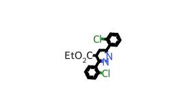 CCOC(=O)C1CC(c2ccccc2Cl)=NN=C1c1ccccc1Cl